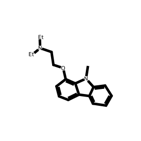 CCN(CC)CCOc1cccc2c3ccccc3n(C)c12